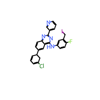 Fc1ccc(Nc2nc(-c3cccnc3)nc3ccc(C4C=CC=C(Cl)C4)cc23)cc1CI